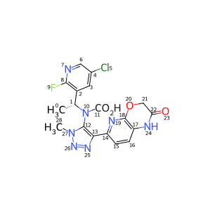 C[C@H](c1cc(Cl)cnc1F)N(C(=O)O)c1c(-c2ccc3c(n2)OCC(=O)N3)nnn1C